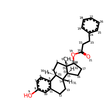 C[C@]12CC[C@@H]3c4ccc(O)cc4CC[C@H]3[C@@H]1CC[C@@H]2OC(=O)CCc1ccccc1